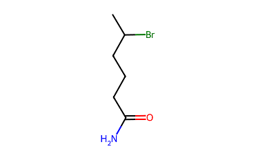 CC(Br)CCCC(N)=O